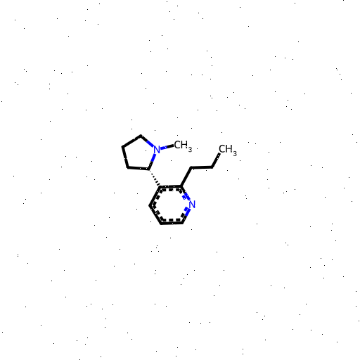 CCCc1ncccc1[C@@H]1CCCN1C